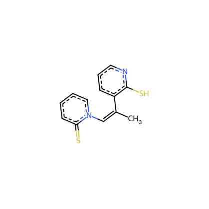 C/C(=C/n1ccccc1=S)c1cccnc1S